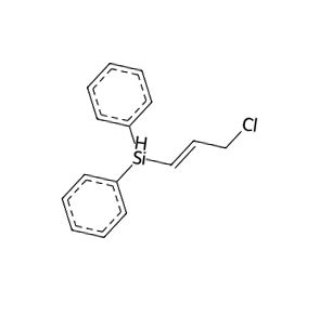 ClCC=C[SiH](c1ccccc1)c1ccccc1